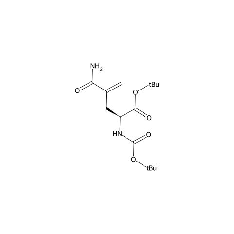 C=C(C[C@H](NC(=O)OC(C)(C)C)C(=O)OC(C)(C)C)C(N)=O